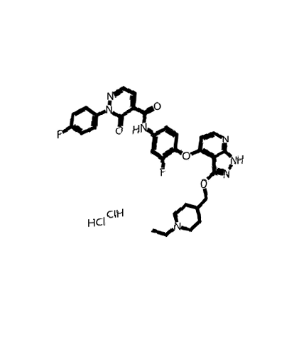 CCN1CCC(COc2n[nH]c3nccc(Oc4ccc(NC(=O)c5ccnn(-c6ccc(F)cc6)c5=O)cc4F)c23)CC1.Cl.Cl